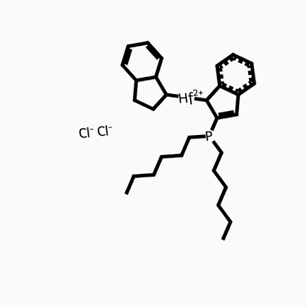 CCCCCCP(CCCCCC)C1=Cc2ccccc2[CH]1[Hf+2][CH]1CCC2C=CC=CC21.[Cl-].[Cl-]